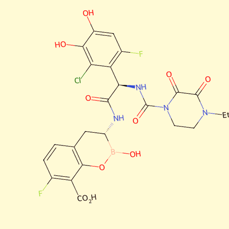 CCN1CCN(C(=O)N[C@@H](C(=O)N[C@H]2Cc3ccc(F)c(C(=O)O)c3OB2O)c2c(F)cc(O)c(O)c2Cl)C(=O)C1=O